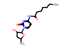 CCCCCCCCCCCCCCCC(=O)Nc1ccn(C2OC(C)CC2O)c(=O)n1